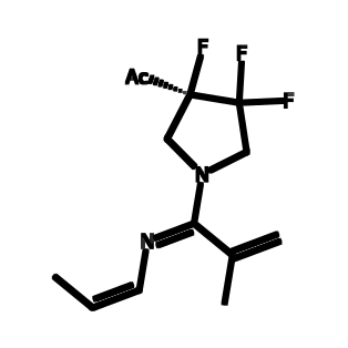 C=C(C)/C(=N\C=C/C)N1CC(F)(F)[C@@](F)(C(C)=O)C1